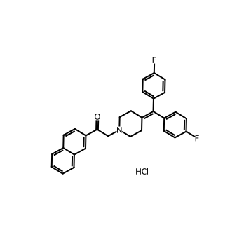 Cl.O=C(CN1CCC(=C(c2ccc(F)cc2)c2ccc(F)cc2)CC1)c1ccc2ccccc2c1